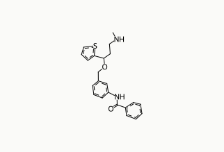 CNCCC(OCc1cccc(NC(=O)c2ccccc2)c1)c1cccs1